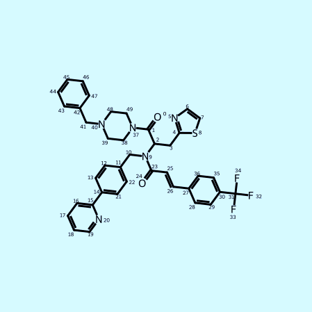 O=C(C(Cc1nccs1)N(Cc1ccc(-c2ccccn2)cc1)C(=O)/C=C/c1ccc(C(F)(F)F)cc1)N1CCN(Cc2ccccc2)CC1